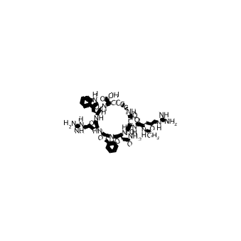 CC(=O)N[C@@H](CCCNC(=N)N)C(=O)N[C@H]1CC(=O)NCCCCC(C(=O)O)NC(=O)[C@H](Cc2c[nH]c3ccccc23)NC(=O)[C@H](CCCNC(=N)N)NC(=O)[C@@H](Cc2ccccc2)NC(=O)[C@H](CC(N)=O)NC1=O